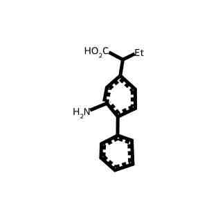 CCC(C(=O)O)c1ccc(-c2ccccc2)c(N)c1